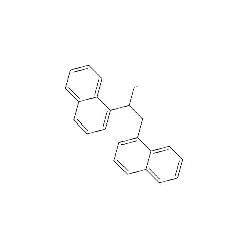 [CH2]C(Cc1cccc2ccccc12)c1cccc2ccccc12